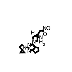 NC12CN(c3nc(N4CCC45CC5)nc4c3CCC4)C[C@@H]1C2CC(=O)N=O